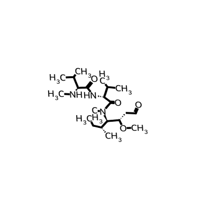 CC[C@@H](C)[C@H]([C@H](CC=O)OC)N(C)C(=O)[C@H](NC(=O)[C@H](NC)C(C)C)C(C)C